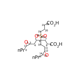 CCCC1OC1CCC(CCC(=O)O)(CCC1OC1CCC)S(=O)(=O)CCCC(=O)O